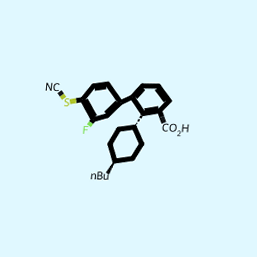 CCCC[C@H]1CC[C@H](c2c(C(=O)O)cccc2-c2ccc(SC#N)c(F)c2)CC1